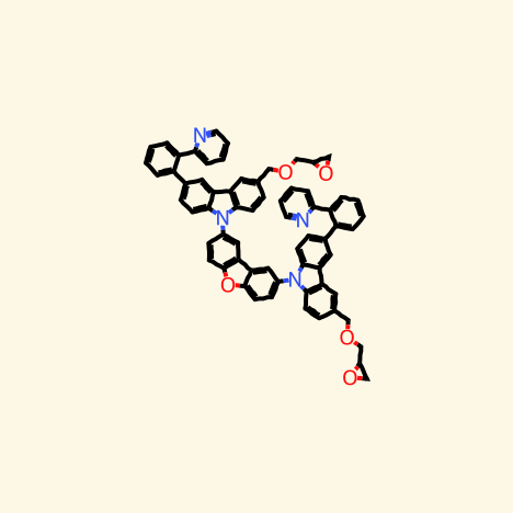 c1ccc(-c2ccccc2-c2ccc3c(c2)c2cc(COCC4CO4)ccc2n3-c2ccc3oc4ccc(-n5c6ccc(COCC7CO7)cc6c6cc(-c7ccccc7-c7ccccn7)ccc65)cc4c3c2)nc1